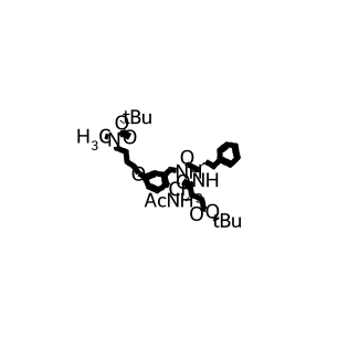 CC(=O)N[C@@H](CC(=O)OC(C)(C)C)C(=O)N[C@@H](CCc1ccccc1)C(=O)NCc1cc(OCCCCN(C)C(=O)OC(C)(C)C)ccc1C